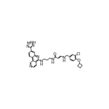 O=C(C=CNCc1ccc(OC2CCC2)c(Cl)c1)NCCCNc1nc2cc(-c3nn[nH]n3)ccc2c2cnccc12